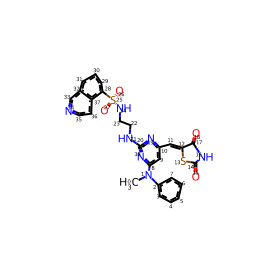 CN(c1ccccc1)c1cc(/C=C2\SC(=O)NC2=O)nc(NCCNS(=O)(=O)c2cccc3cnccc23)n1